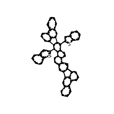 c1ccc2sc(-c3c4c(c(-c5cc6ccccc6s5)c5c3ccc3c6cc7c(cc6ccc35)-c3cc5ccccc5c5cccc-7c35)-c3cccc5c3c-4cc3ccccc35)cc2c1